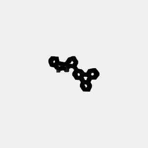 c1ccc2c(c1)sc1oc3c(-c4ccc5c6ccccc6c6ccccc6c5c4)cccc3c12